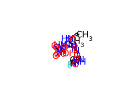 C#C[C@H]1CC(F)(F)CN1C(=O)CNC(=O)c1ccnc2ccc(OCCCN3CCN(C(=O)CCCCCNC(=O)C(CCCC/N=C(\C)NC(=O)CCCc4ccc(C)cc4)NC(=O)CN4CCN(COC=O)CCN(COC=O)CCN(CC(=O)O)CC4)CC3)cc12